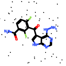 NNc1ncnc2[nH]cc(C(=O)c3c(F)ccc(C(N)=O)c3F)c12